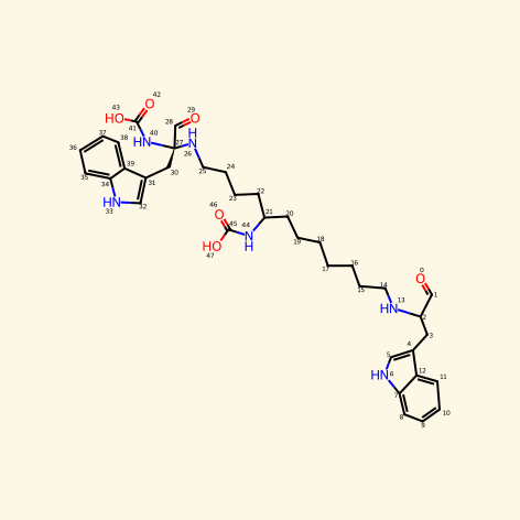 O=CC(Cc1c[nH]c2ccccc12)NCCCCCCCC(CCCCN[C@](C=O)(Cc1c[nH]c2ccccc12)NC(=O)O)NC(=O)O